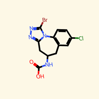 O=C(O)NC1Cc2cc(Cl)ccc2-n2c(Br)nnc2C1